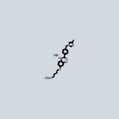 Br.CCCCCCCCCCCCCCOc1ccc(NC(=O)c2ccc(CN3C=C(C)SC3)cc2)c(Cl)c1